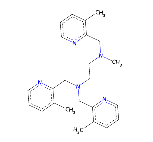 Cc1cccnc1CN(C)CCN(Cc1ncccc1C)Cc1ncccc1C